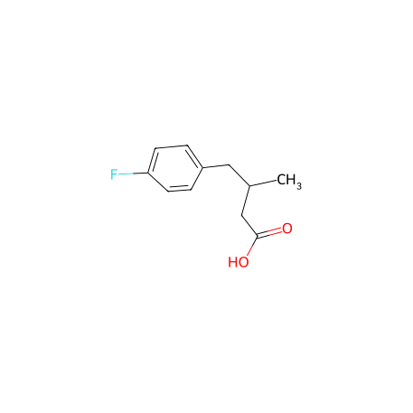 CC(CC(=O)O)Cc1ccc(F)cc1